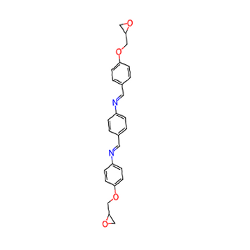 C(=N\c1ccc(/C=N/c2ccc(OCC3CO3)cc2)cc1)/c1ccc(OCC2CO2)cc1